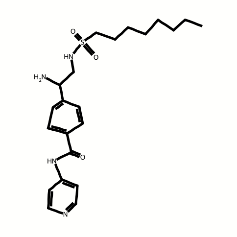 CCCCCCCCS(=O)(=O)NCC(N)c1ccc(C(=O)Nc2ccncc2)cc1